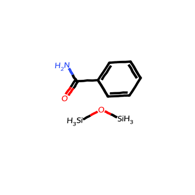 NC(=O)c1ccccc1.[SiH3]O[SiH3]